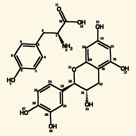 N[C@@H](Cc1ccc(O)cc1)C(=O)O.Oc1cc(O)c2c(c1)O[C@H](c1ccc(O)c(O)c1)[C@@H](O)C2